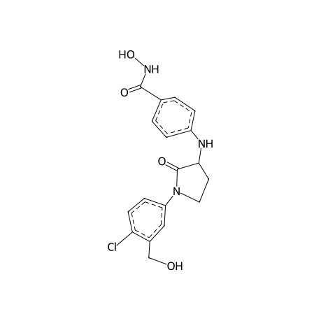 O=C(NO)c1ccc(NC2CCN(c3ccc(Cl)c(CO)c3)C2=O)cc1